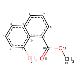 Bc1cccc2cccc(C(=O)OC)c12